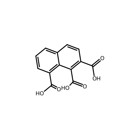 O=C(O)c1ccc2cccc(C(=O)O)c2c1C(=O)O